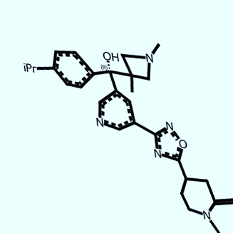 CC(C)c1ccc([C@](O)(c2cncc(-c3noc(C4CCN(C)C(=O)C4)n3)c2)C2(C)CN(C)C2)cc1